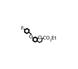 CCOC(=O)C1CCc2ccc(OCc3ccc(F)cc3)cc2O1